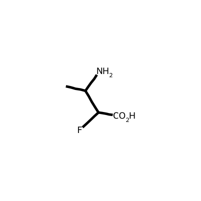 CC(N)C(F)C(=O)O